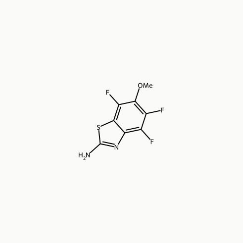 COc1c(F)c(F)c2nc(N)sc2c1F